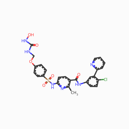 Cc1nc(NS(=O)(=O)c2ccc(OCNC(=O)NO)cc2)ccc1C(=O)Nc1ccc(Cl)c(-c2ccccn2)c1